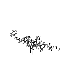 CS(=O)(=O)NCc1cc(F)cc(-c2cncc3[nH]c(-c4n[nH]c5ncc(-c6cncc(CNCc7ccccc7)c6)cc45)nc23)c1